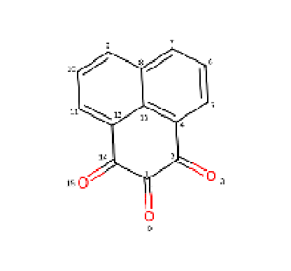 O=C1C(=O)c2cccc3cccc(c23)C1=O